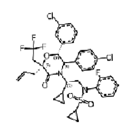 C=CC[C@]1(CC(F)(F)F)O[C@H](c2cccc(Cl)c2)[C@@H](c2ccc(Cl)cc2)N([C@@H](CN(c2ccccc2F)S(=O)(=O)C2CC2)C2CC2)C1=O